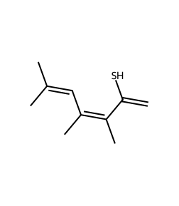 C=C(S)/C(C)=C(/C)C=C(C)C